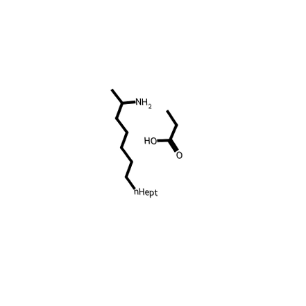 CCC(=O)O.CCCCCCCCCCCCC(C)N